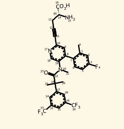 Cc1cc(F)ccc1-c1cc(C#CC[C@@H](N)C(=O)O)ncc1N(C)C(=O)C(C)(C)c1cc(C(F)(F)F)cc(C(F)(F)F)c1